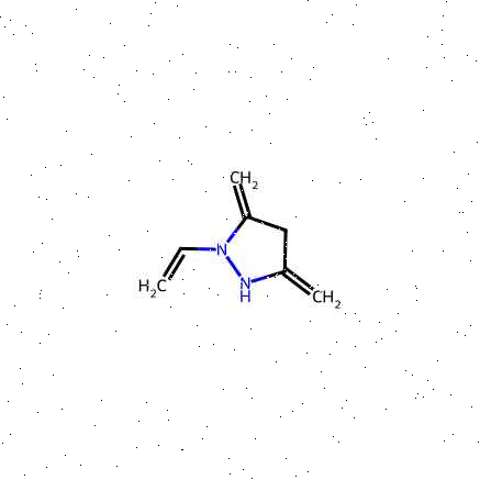 C=CN1NC(=C)CC1=C